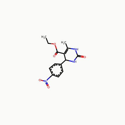 CCOC(=O)C1=C(C)NC(=O)NC1c1ccc([N+](=O)[O-])cc1